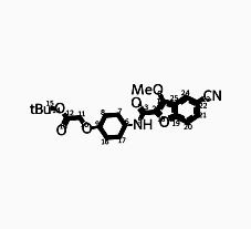 COc1c(C(=O)N[C@H]2CC[C@H](OCC(=O)OC(C)(C)C)CC2)oc2ccc(C#N)cc12